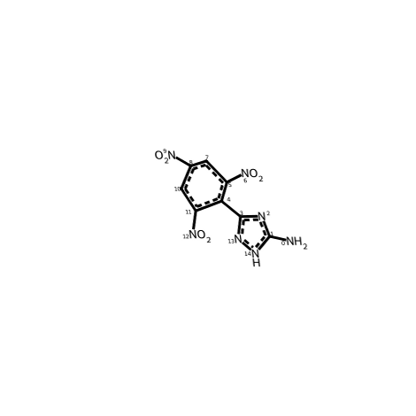 Nc1nc(-c2c([N+](=O)[O-])cc([N+](=O)[O-])cc2[N+](=O)[O-])n[nH]1